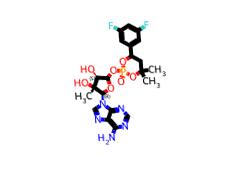 CC1(C)CC(c2cc(F)cc(F)c2)OP(=O)(OC2O[C@@H](n3cnc4c(N)ncnc43)[C@](C)(O)[C@@H]2O)O1